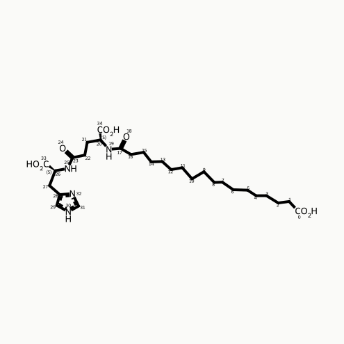 O=C(O)CCCCCCCCCCCCCCCCC(=O)N[C@@H](CCC(=O)N[C@@H](Cc1c[nH]cn1)C(=O)O)C(=O)O